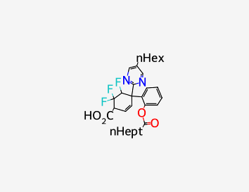 CCCCCCCC(=O)Oc1ccccc1C1(c2ncc(CCCCCC)cn2)C=CC(C(=O)O)C(F)(F)C1F